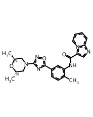 Cc1ccc(-c2nc(N3C[C@H](C)O[C@@H](C)C3)no2)cc1NC(=O)c1cnc2ccccn12